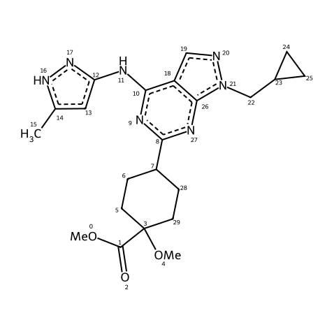 COC(=O)C1(OC)CCC(c2nc(Nc3cc(C)[nH]n3)c3cnn(CC4CC4)c3n2)CC1